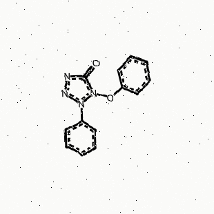 O=c1nnn(-c2ccccc2)n1Oc1ccccc1